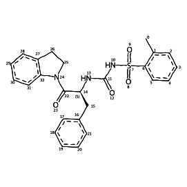 Cc1ccccc1S(=O)(=O)NC(=O)N[C@@H](Cc1ccccc1)C(=O)N1CCc2ccccc21